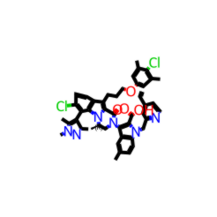 C=Cc1ccnc(Cn2c(C(=O)O)c(N3C[C@@H](C)n4c(c(CCCOc5cc(C)c(Cl)c(C)c5)c5ccc(Cl)c(-c6c(C)nn(C)c6C)c54)C3=O)c3cc(C)ccc32)c1